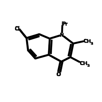 Cc1c(C)n(C(C)C)c2cc(Cl)ccc2c1=O